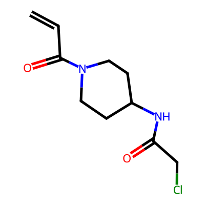 C=CC(=O)N1CCC(NC(=O)CCl)CC1